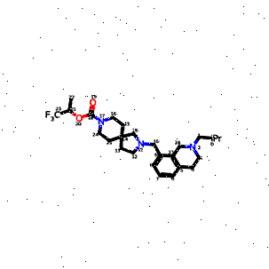 CC(C)CN1CCc2cccc(CN3CCC4(CCN(C(=O)OC(C)C(F)(F)F)CC4)C3)c2C1